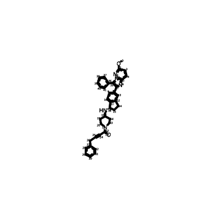 COc1ccc2nc(-c3ccc4c(c3)CC[C@@H]4NC3CCN(C(=O)C#CCc4ccccc4)CC3)c(-c3ccccc3)n2n1